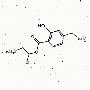 BCc1ccc(C(=O)OC(CS(=O)(=O)O)C(F)(F)F)c(O)c1